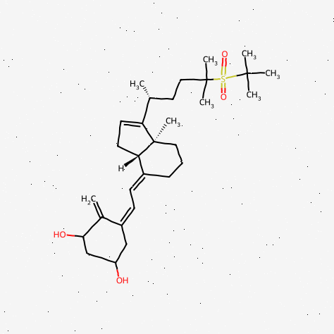 C=C1/C(=C\C=C2/CCC[C@]3(C)C([C@H](C)CCC(C)(C)S(=O)(=O)C(C)(C)C)=CC[C@@H]23)CC(O)CC1O